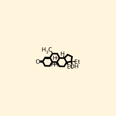 CCC12CC[C@H]3[C@@H](C[C@H](C)C4=CC(=O)CC[C@@H]43)[C@@H]1CC[C@@]2(O)CC